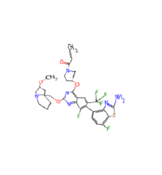 C=CC(=O)N1CCC(Oc2nc(OCC34CCCN3CC(OC)C4)nc3c(F)c(-c4ccc(F)c5sc(N)nc45)c(C(F)(F)F)cc23)C1